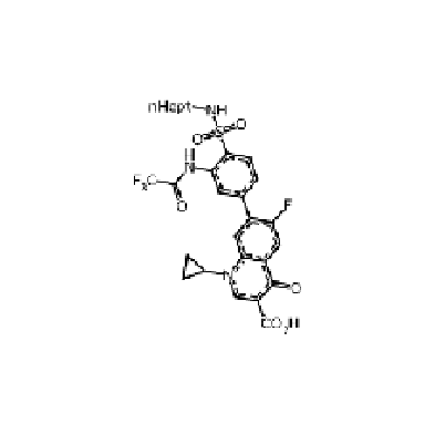 CCCCCCCNS(=O)(=O)c1ccc(-c2cc3c(cc2F)c(=O)c(C(=O)O)cn3C2CC2)cc1NC(=O)C(F)(F)F